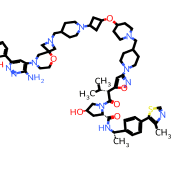 Cc1ncsc1-c1ccc([C@H](C)NC(=O)[C@@H]2C[C@@H](O)CN2C(=O)[C@@H](c2cc(N3CCC(CN4CCC(OC5CC(N6CCC(CN7CC8(C7)CN(c7cc(-c9ccccc9O)nnc7N)CCO8)CC6)C5)CC4)CC3)no2)C(C)C)cc1